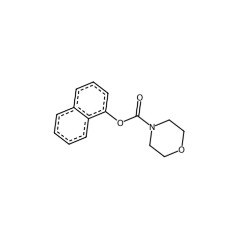 O=C(Oc1cccc2ccccc12)N1CCOCC1